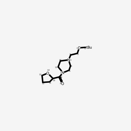 CC(C)(C)OCCN1CCN(C(=O)C2CCCO2)CC1